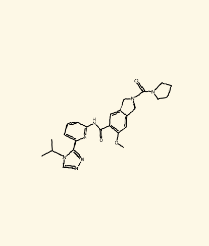 COc1cc2c(cc1C(=O)Nc1cccc(-c3nncn3C(C)C)n1)CN(C(=O)N1CCCC1)C2